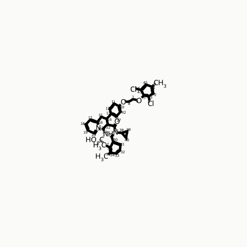 Cc1cc(Cl)c(OCCOc2ccc(C(Cc3ccccn3)C(CNC(=O)O)C(=O)N(Cc3cccc(C)c3C)C3CC3)cc2)c(Cl)c1